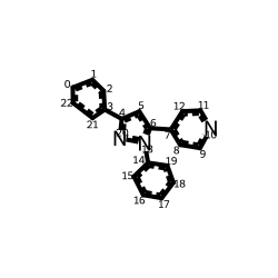 c1ccc(-c2cc(-c3ccncc3)n(-c3ccccc3)n2)cc1